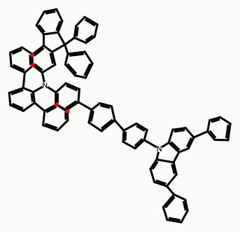 c1ccc(-c2ccc3c(c2)c2cc(-c4ccccc4)ccc2n3-c2ccc(-c3ccc(-c4ccc(N(c5ccc6c(c5)C(c5ccccc5)(c5ccccc5)c5ccccc5-6)c5c(-c6ccccc6)cccc5-c5ccccc5)cc4)cc3)cc2)cc1